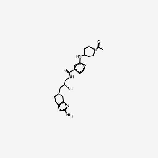 CC(=O)N1CCC(Nc2cc(C(=O)NC[C@H](O)CN3CCc4sc(N)nc4C3)ccn2)CC1